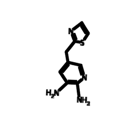 Nc1cc(Cc2nccs2)cnc1N